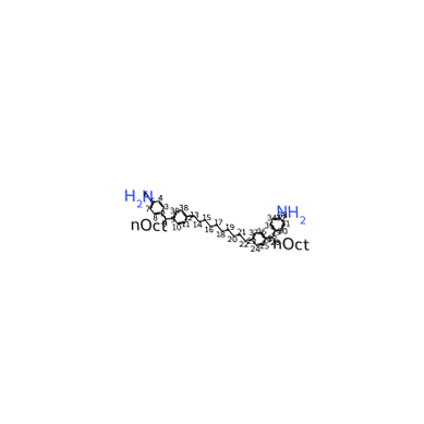 CCCCCCCCC(c1ccc(N)cc1)c1ccc(CCCCCCCCCCc2ccc(C(CCCCCCCC)c3ccc(N)cc3)cc2)cc1